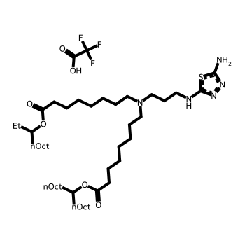 CCCCCCCCC(CC)OC(=O)CCCCCCCN(CCCCCCCC(=O)OC(CCCCCCCC)CCCCCCCC)CCCNc1nnc(N)s1.O=C(O)C(F)(F)F